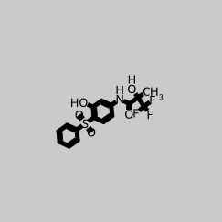 CC(O)(C(=O)Nc1ccc(S(=O)(=O)c2ccccc2)c(O)c1)C(F)(F)F